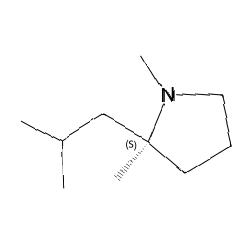 CC(C)C[C@]1(C)CCCN1C